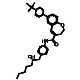 CCCCC[PH](=O)Cc1ccc(NC(=O)C2=Cc3cc(-c4ccc(C(C)(C)C)cc4)ccc3OCC2)cc1